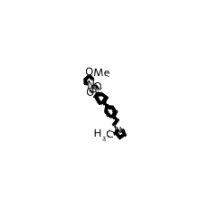 COC1CCN(S(=O)(=O)c2ccc(-c3ccc(CCN4CCCC4C)cc3)cc2)C1